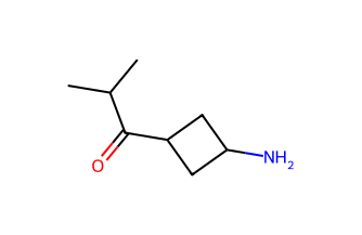 CC(C)C(=O)C1CC(N)C1